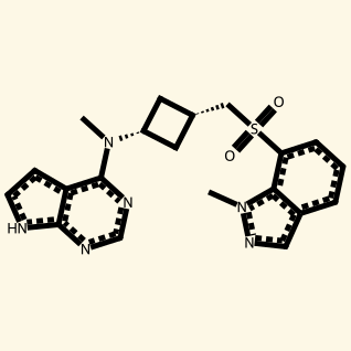 Cn1ncc2cccc(S(=O)(=O)C[C@H]3C[C@@H](N(C)c4ncnc5[nH]ccc45)C3)c21